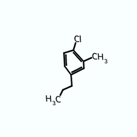 CCCc1ccc(Cl)c(C)c1